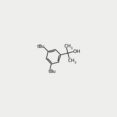 CC(C)(C)c1cc(C(C)(C)C)cc(C(C)(C)O)c1